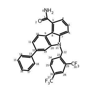 NC(=O)c1cccc2c1c1[c]cc(-c3ccccc3)cc1n2Cc1ccc(C(F)(F)F)cc1C(F)(F)F